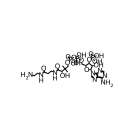 CC(C)(COP(=O)(O)OP(=O)(O)OCC1OC(n2cnc3c(N)ncnc32)C(O)C1OP(=O)(O)O)[C@@H](O)C(=O)NCCC(=O)NCCN